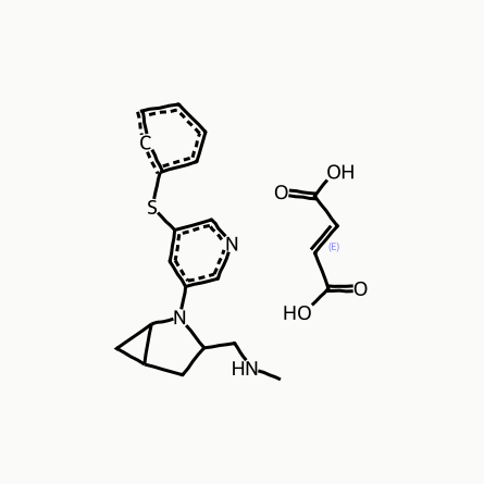 CNCC1CC2CC2N1c1cncc(Sc2ccccc2)c1.O=C(O)/C=C/C(=O)O